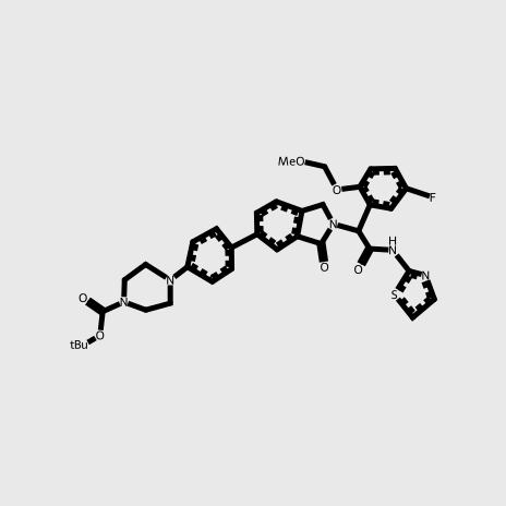 COCOc1ccc(F)cc1C(C(=O)Nc1nccs1)N1Cc2ccc(-c3ccc(N4CCN(C(=O)OC(C)(C)C)CC4)cc3)cc2C1=O